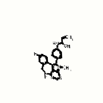 C=CC(O)Nc1ccc(-c2c3c4c(ncnc4n2C)NCc2cc(F)ccc2-3)cc1